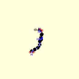 Cc1cc(-c2nn3c(c2C)Nc2ccc(N4CCN(CC5CCN(c6ccc(N7CCC(=O)NC7=O)cc6)CC5)CC4)cc2CC3)ccc1CNC(=O)c1nc(C(C)(C)C)no1